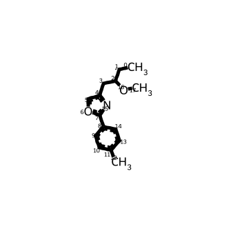 C[CH]C(Cc1coc(-c2ccc(C)cc2)n1)OC